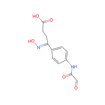 O=CC(=O)Nc1ccc(C(CCC(=O)O)=NO)cc1